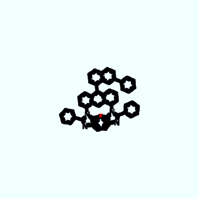 c1ccc(-c2ccc3cccc(-c4c5cccc(-n6c(-c7ccccc7)nc7ccccc76)c5cc5c(-n6c(-c7ccccc7)nc7ccccc76)cccc45)c3c2)cc1